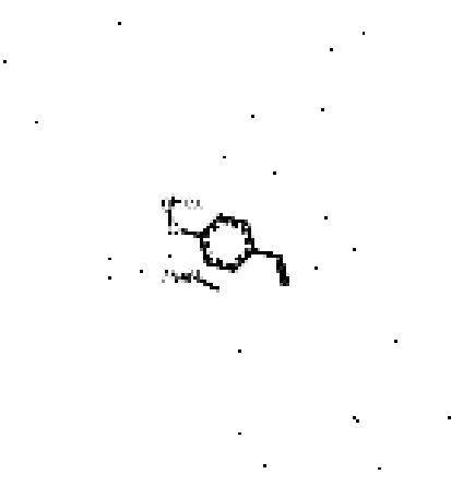 C=Cc1ccc(OCCCCCC)cc1.CNC